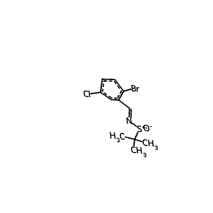 CC(C)(C)[S@+]([O-])/N=C/c1cc(Cl)ccc1Br